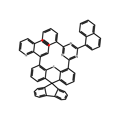 c1ccc(-c2nc(-c3cccc4c3Sc3c(-c5cccc6cccnc56)cccc3C43c4ccccc4-c4ccccc43)nc(-c3cccc4ccccc34)n2)cc1